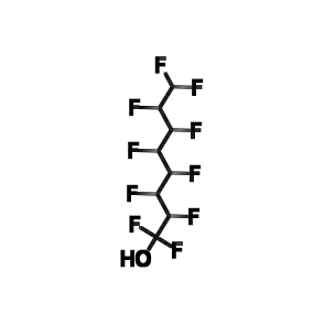 OC(F)(F)C(F)C(F)C(F)C(F)C(F)C(F)C(F)F